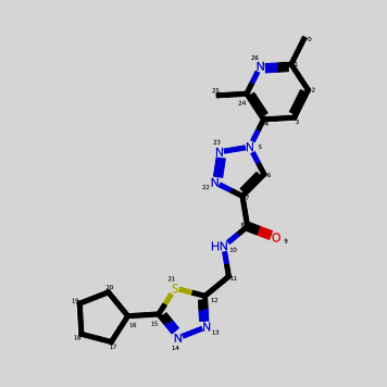 Cc1ccc(-n2cc(C(=O)NCc3nnc(C4CCCC4)s3)nn2)c(C)n1